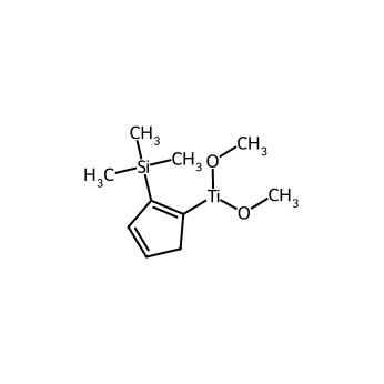 C[O][Ti]([O]C)[C]1=C([Si](C)(C)C)C=CC1